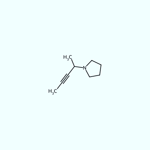 CC#CC(C)N1CCCC1